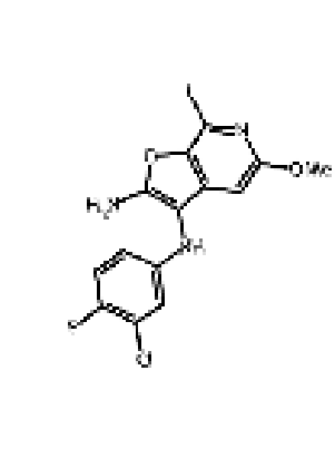 COc1cc2c(Nc3ccc(F)c(Cl)c3)c(N)oc2c(I)n1